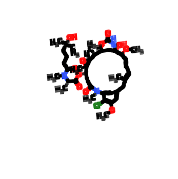 COc1cc2cc(c1Cl)N(C)C(=O)C[C@H](OC(=O)[C@H](C)N(C)C(=O)CCC[Si](C)(C)O)[C@@]1(C)O[C@H]1[C@H](C)[C@@H]1C[C@@](O)(NC(=O)O1)[C@H](OC)/C=C/C=C(\C)C2